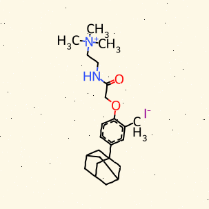 Cc1cc(C23CC4CC(CC(C4)C2)C3)ccc1OCC(=O)NCC[N+](C)(C)C.[I-]